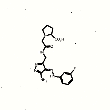 NC1=NN=C(CNC(=O)CN2CCCC2C(=O)O)/C1=N/Nc1cccc(F)c1